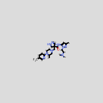 Cc1cc(NC(=O)C2(CN3CCN(c4ccc(C(F)(F)F)cn4)C(C)C3)C=NNC2)n(CCN(C)C)n1